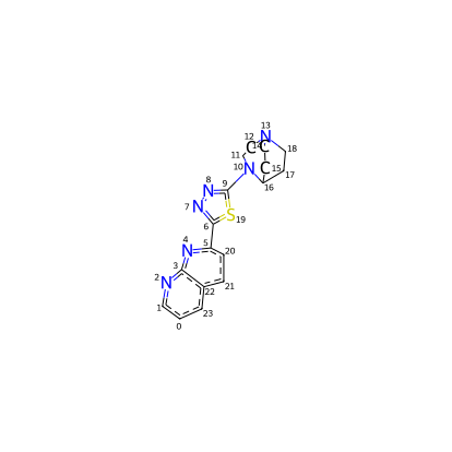 c1cnc2nc(-c3nnc(N4CCN5CCC4CC5)s3)ccc2c1